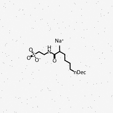 CCCCCCCCCCCCCCC(C)C(=O)NCCS(=O)(=O)[O-].[Na+]